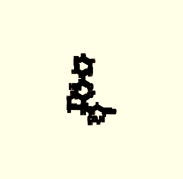 CSC[C@@H](NC(=O)[C@@H](CSC)NC(=O)c1cnccn1)C(=O)O